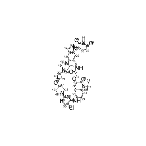 CNC(=O)COc1cc2cc(Nc3nc(N4CCC(OC5CC(N6CCN(c7ccc8c(cnn8[C@@H]8CCC(=O)NC8=O)c7)CC6)C5)CC4)ncc3Cl)ccc2n(C(C)C)c1=O